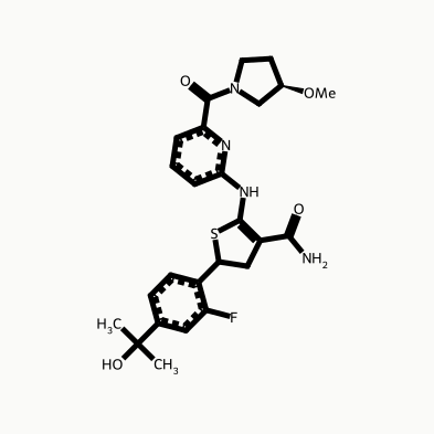 CO[C@@H]1CCN(C(=O)c2cccc(NC3=C(C(N)=O)CC(c4ccc(C(C)(C)O)cc4F)S3)n2)C1